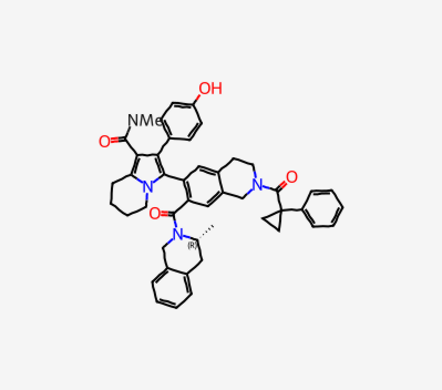 CNC(=O)c1c(-c2ccc(O)cc2)c(-c2cc3c(cc2C(=O)N2Cc4ccccc4C[C@H]2C)CN(C(=O)C2(c4ccccc4)CC2)CC3)n2c1CCCC2